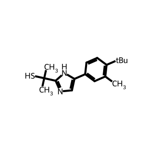 Cc1cc(-c2cnc(C(C)(C)S)[nH]2)ccc1C(C)(C)C